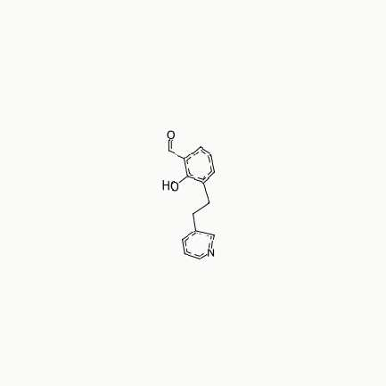 O=Cc1cccc(CCc2cccnc2)c1O